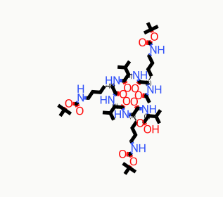 CC(=O)N[C@@H](CCCCNC(=O)OC(C)(C)C)C(=O)N[C@H](C(=O)N[C@@H](CCCCNC(=O)OC(C)(C)C)C(=O)N[C@H](C(=O)N[C@@H](CCCCNC(=O)OC(C)(C)C)C(=O)N[C@H](C(=O)O)C(C)C)C(C)C)C(C)C